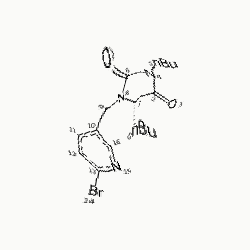 CCCC[C@H]1C(=O)N(CCCC)C(=O)N1Cc1ccc(Br)nc1